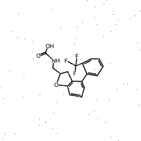 O=C(O)NCC1Cc2c(cccc2-c2ccccc2C(F)(F)F)O1